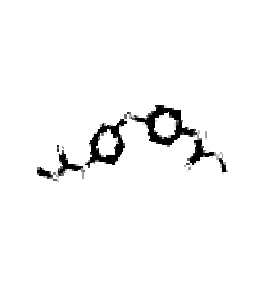 COC(=O)Nc1ccc(Oc2ccc(NC(=O)OC)cc2)cc1